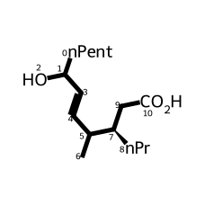 CCCCCC(O)/C=C/C(C)[C@H](CCC)CC(=O)O